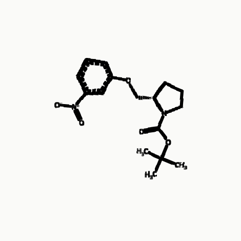 CC(C)(C)OC(=O)N1CCC[C@H]1COc1cccc([N+](=O)[O-])c1